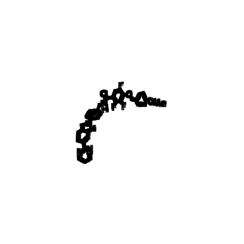 COc1ccc(COc2c(F)cc(C(=O)NC[C@]34CC[C@](n5cc6ccc(-c7ncccn7)cc6n5)(CC3)CC4)c(F)c2F)cc1